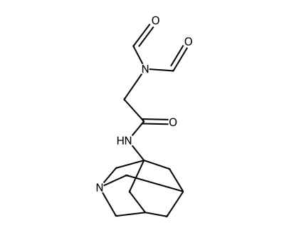 O=CN(C=O)CC(=O)NC12CC3CC(CN(C3)C1)C2